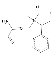 C=CC(N)=O.CCC(c1ccccc1)[N+](C)(C)C.[Cl-]